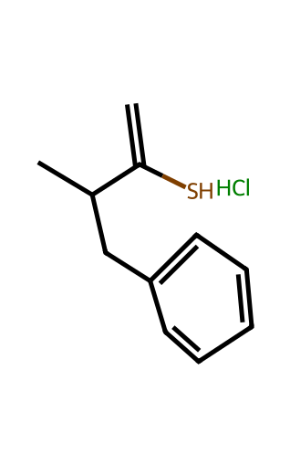 C=C(S)C(C)Cc1ccccc1.Cl